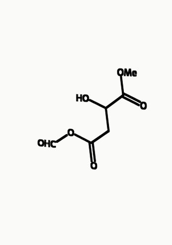 COC(=O)C(O)CC(=O)OC=O